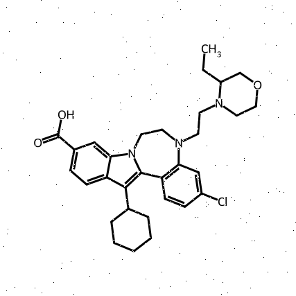 CCC1COCCN1CCN1CCn2c(c(C3CCCCC3)c3ccc(C(=O)O)cc32)-c2ccc(Cl)cc21